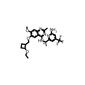 CCOC1CCC1COc1cc2c(N[C@H](C)c3cc(C(F)(F)F)cc(N)n3)nc(C)nc2cc1OC